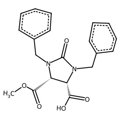 COC(=O)[C@H]1[C@@H](C(=O)O)N(Cc2ccccc2)C(=O)N1Cc1ccccc1